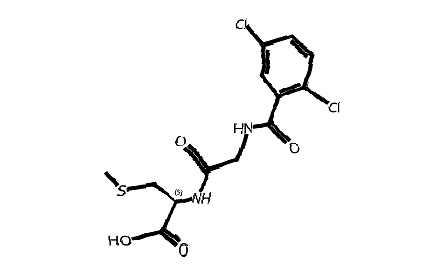 CSC[C@@H](NC(=O)CNC(=O)c1cc(Cl)ccc1Cl)C(=O)O